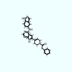 O=C(Cc1ccccc1)N1CC=C(c2cc3c(Nc4ccc5[nH]ncc5c4)ncnc3[nH]2)CC1